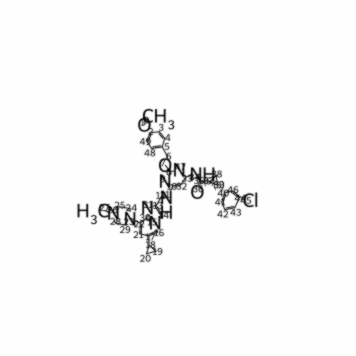 COc1ccc(COc2nc(NCc3cn4cc(C5CC5)cc(N5CCN(C)CC5)c4n3)cc(NC(=O)[C@H]3C[C@@H]3c3cccc(Cl)c3)n2)cc1